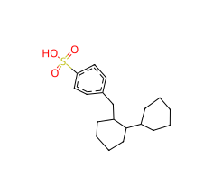 O=S(=O)(O)c1ccc(CC2CCCCC2C2CCCCC2)cc1